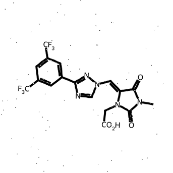 CN1C(=O)/C(=C/n2cnc(-c3cc(C(F)(F)F)cc(C(F)(F)F)c3)n2)N(CC(=O)O)C1=O